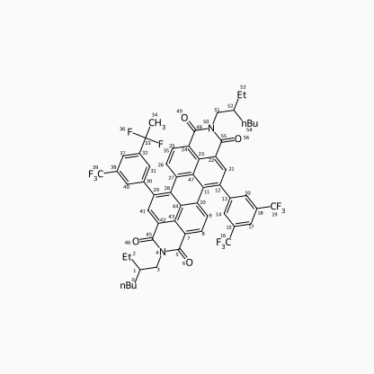 CCCCC(CC)CN1C(=O)c2ccc3c4c(-c5cc(C(F)(F)F)cc(C(F)(F)F)c5)cc5c6c(ccc(c7c(-c8cc(C(C)(F)F)cc(C(F)(F)F)c8)cc(c2c37)C1=O)c64)C(=O)N(CC(CC)CCCC)C5=O